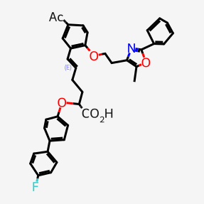 CC(=O)c1ccc(OCCc2nc(-c3ccccc3)oc2C)c(/C=C/CCC(Oc2ccc(-c3ccc(F)cc3)cc2)C(=O)O)c1